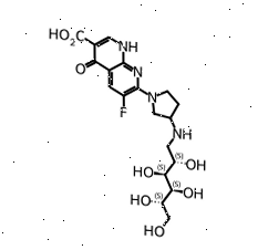 O=C(O)c1c[nH]c2nc(N3CCC(NC[C@H](O)[C@H](O)[C@@H](O)[C@@H](O)CO)C3)c(F)cc2c1=O